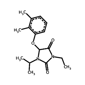 CCN1C(=O)C(Oc2cccc(C)c2C)N(C(C)C)C1=O